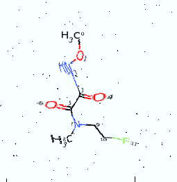 CONC(=O)C(=O)N(C)CCF